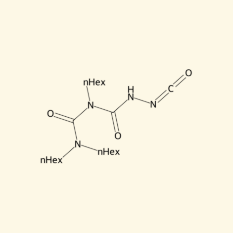 CCCCCCN(CCCCCC)C(=O)N(CCCCCC)C(=O)NN=C=O